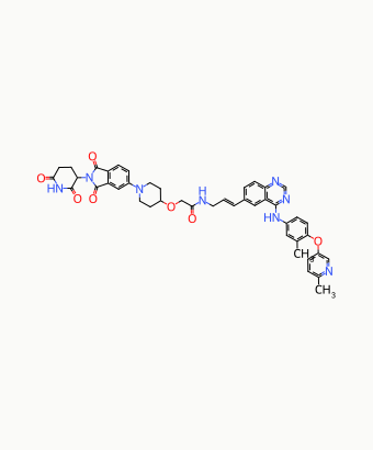 Cc1ccc(Oc2ccc(Nc3ncnc4ccc(C=CCNC(=O)COC5CCN(c6ccc7c(c6)C(=O)N(C6CCC(=O)NC6=O)C7=O)CC5)cc34)cc2C)cn1